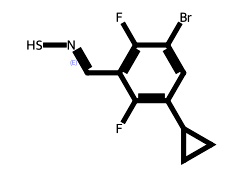 Fc1c(Br)cc(C2CC2)c(F)c1/C=N/S